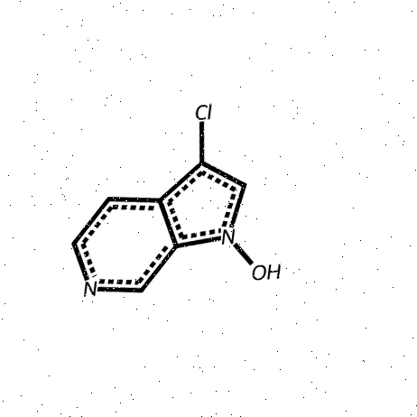 On1cc(Cl)c2ccncc21